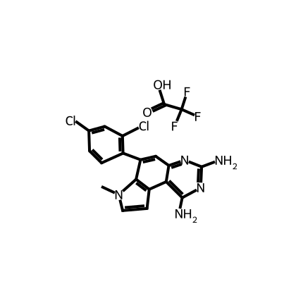 Cn1ccc2c3c(N)nc(N)nc3cc(-c3ccc(Cl)cc3Cl)c21.O=C(O)C(F)(F)F